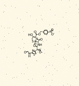 CON=C(C(=O)NC1C(=O)N2C(C(=O)OCc3ccc([N+](=O)[O-])cc3)=C(O)CS[C@@H]12)c1csc(NC=O)n1